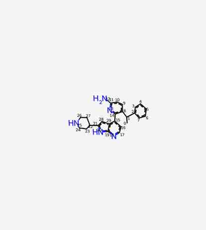 CC(c1ccccc1)c1ccc(N)nc1-c1ccnc2[nH]c(C3CCNCC3)cc12